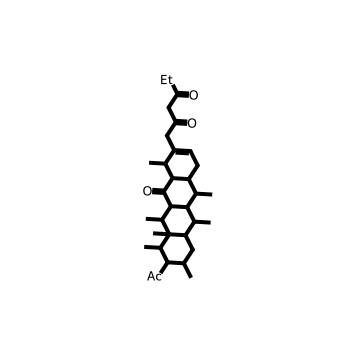 CCC(=O)CC(=O)CC1=CCC2C(C)C3C(C)C4CC(C)C(C(C)=O)C(C)C4(C)C(C)C3C(=O)C2C1C